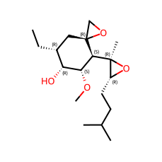 CC[C@@H]1C[C@]2(CO2)[C@@H]([C@@]2(C)O[C@@H]2CCC(C)C)[C@H](OC)[C@@H]1O